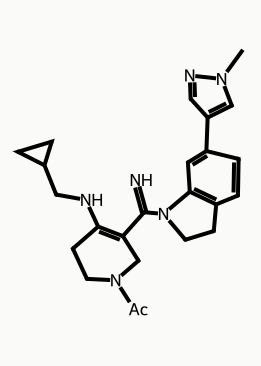 CC(=O)N1CCC(NCC2CC2)=C(C(=N)N2CCc3ccc(-c4cnn(C)c4)cc32)C1